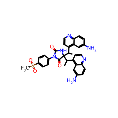 CC(c1ccnc2ccc(N)cc12)C1(C(C)c2ccnc3ccc(N)cc23)NC(=O)N(c2ccc(S(=O)(=O)C(F)(F)F)cc2)C1=O